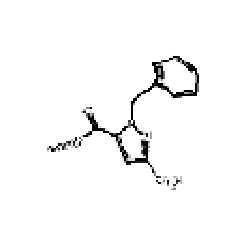 COC(=O)c1cc(C(=O)O)nn1Cc1ccccc1